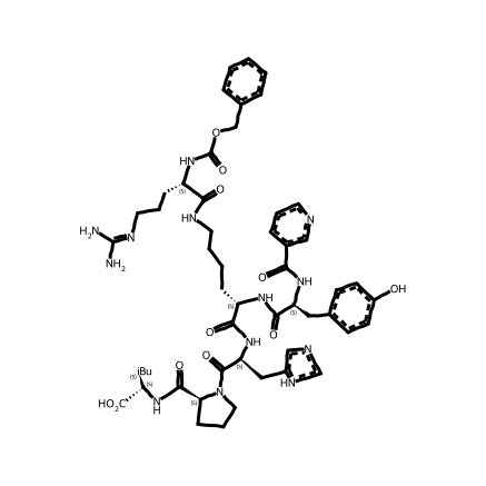 CC[C@H](C)[C@H](NC(=O)[C@@H]1CCCN1C(=O)[C@H](Cc1cnc[nH]1)NC(=O)[C@H](CCCCNC(=O)[C@H](CCCN=C(N)N)NC(=O)OCc1ccccc1)NC(=O)[C@H](Cc1ccc(O)cc1)NC(=O)c1cccnc1)C(=O)O